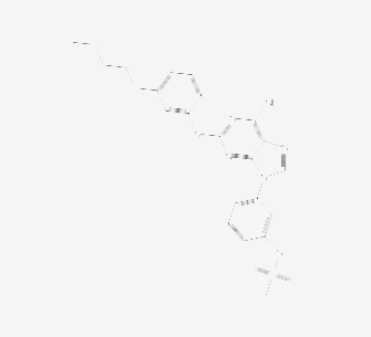 COCCOc1cccc(Nc2nc(N)c3ncn(-c4cccc(NS(C)(=O)=O)c4)c3n2)c1